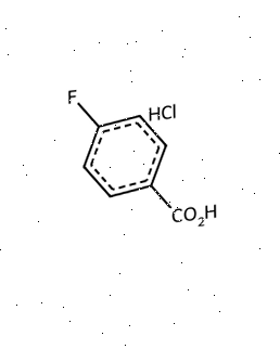 Cl.O=C(O)c1ccc(F)cc1